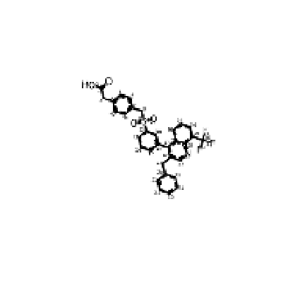 O=C(O)Cc1ccc(CS(=O)(=O)c2cccc(-c3c(Cc4ccccc4)cnc4c(C(F)(F)F)cccc34)c2)cc1